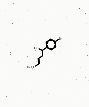 CC(C/C=C/C(=O)O)c1ccc(Br)cc1